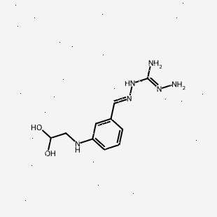 NN=C(N)NN=Cc1cccc(NCC(O)O)c1